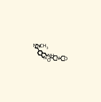 Cn1cncc1-c1ccc2cnc(NC(=O)C3CCN(C4CCOCC4)CC3)cc2c1